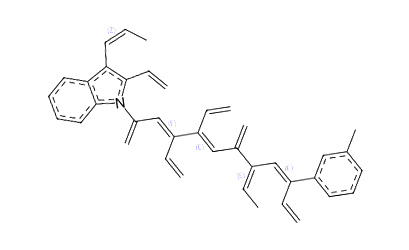 C=CC(=C\C(=C)C(=C/C)/C=C(\C=C)c1cccc(C)c1)/C(C=C)=C/C(=C)n1c(C=C)c(/C=C\C)c2ccccc21